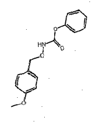 COc1ccc(CONC(=O)Oc2ccccc2)cc1